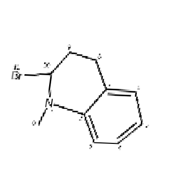 CN1c2ccccc2CCC1Br